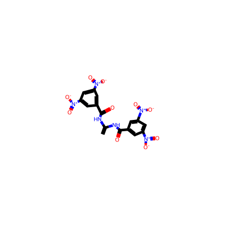 C=C(NC(=O)c1cc([N+](=O)[O-])cc([N+](=O)[O-])c1)NC(=O)c1cc([N+](=O)[O-])cc([N+](=O)[O-])c1